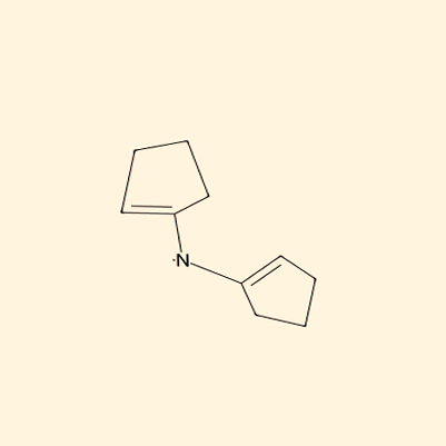 C1=C([N]C2=CCCC2)CCC1